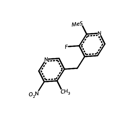 CSc1nccc(Cc2cncc([N+](=O)[O-])c2C)c1F